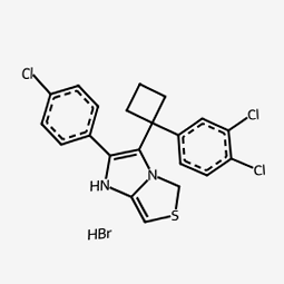 Br.Clc1ccc(C2=C(C3(c4ccc(Cl)c(Cl)c4)CCC3)N3CSC=C3N2)cc1